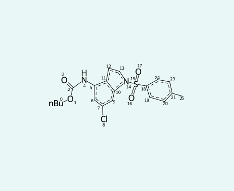 CCCCOC(=O)Nc1cc(Cl)cc2c1ccn2S(=O)(=O)c1ccc(C)cc1